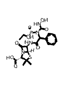 CCO[PH](=O)N(C(=O)NO)C(C(=O)N[C@@H]1C(=O)N2[C@@H]1SC(C)(C)[C@@H]2C(=O)O)c1ccccc1